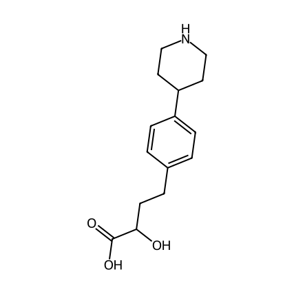 O=C(O)C(O)CCc1ccc(C2CCNCC2)cc1